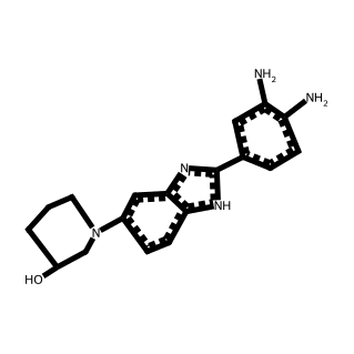 Nc1ccc(-c2nc3cc(N4CCCC(O)C4)ccc3[nH]2)cc1N